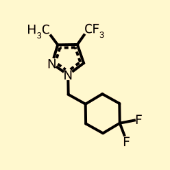 Cc1nn(CC2CCC(F)(F)CC2)cc1C(F)(F)F